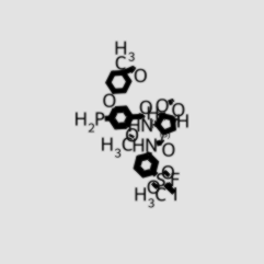 COc1cc(P)c(O[C@H]2CC[C@@](C)(C=O)CC2)cc1C(=O)N[C@@H]1[C@H]2OCO[C@H]2C[C@@H]1C(=O)Nc1cccc(S(=O)(=O)C(C)(F)I)c1